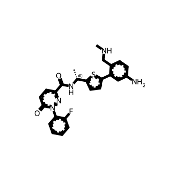 CNCc1ccc(N)cc1-c1ccc([C@@H](C)NC(=O)c2ccc(=O)n(-c3ccccc3F)n2)s1